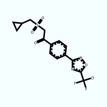 O=C(CS(=O)(=O)CC1CC1)c1ccc(-c2noc(C(F)(F)Cl)n2)cc1